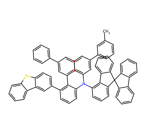 Cc1cccc(-c2cccc(N(c3cccc(-c4ccc5sc6ccccc6c5c4)c3-c3cccc(-c4ccccc4)c3)c3cccc4c3-c3ccccc3C43c4ccccc4-c4ccccc43)c2)c1